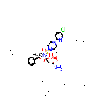 CN([C@](O)(CC(N)=O)OCc1ccccc1)S(=O)(=O)N1CCN(c2ccc(Cl)cn2)CC1